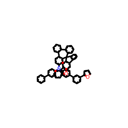 c1ccc(-c2ccc(N(c3ccc(-c4cccc(-c5ccco5)c4)cc3)c3ccc4c(c3)C3(c5ccccc5-c5ccccc5-4)c4ccccc4-c4cc5oc6ccccc6c5cc43)cc2)cc1